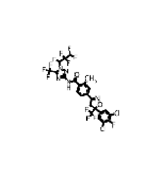 Cc1cc(C2=NOC(c3cc(Cl)c(F)c(Cl)c3)(C(F)(F)F)C2)ccc1C(=O)Nc1nc(C(F)(F)F)n(C(F)C(F)(F)C(F)F)n1